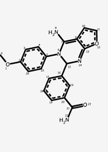 COc1ccc(N2C(N)=c3ccoc3=NC2c2cccc(C(N)=O)c2)cc1